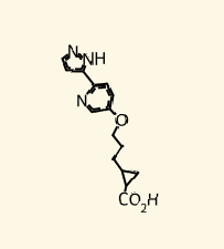 O=C(O)C1CC1CCCOc1ccc(-c2ccn[nH]2)nc1